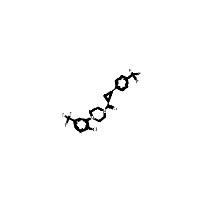 O=C([C@H]1C[C@H]1c1ccc(C(F)(F)F)cc1)N1CCN(c2cc(C(F)(F)F)ccc2Cl)CC1